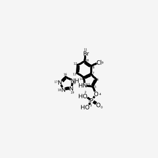 O=P(O)(O)Oc1cc2c(Cl)c(Br)ccc2[nH]1.c1nnn[nH]1